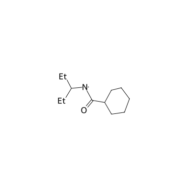 CCC(CC)[N]C(=O)C1CCCCC1